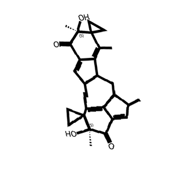 CC1=C2C(=CC(C)C2CC2C3=C(C)C4(CC4)[C@](C)(O)C(=O)C3=CC2C)C(=O)[C@@](C)(O)C12CC2